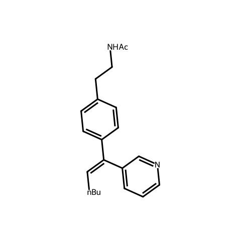 CCCCC=C(c1ccc(CCNC(C)=O)cc1)c1cccnc1